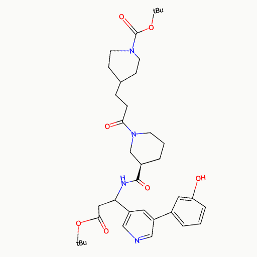 CC(C)(C)OC(=O)CC(NC(=O)[C@@H]1CCCN(C(=O)CCC2CCN(C(=O)OC(C)(C)C)CC2)C1)c1cncc(-c2cccc(O)c2)c1